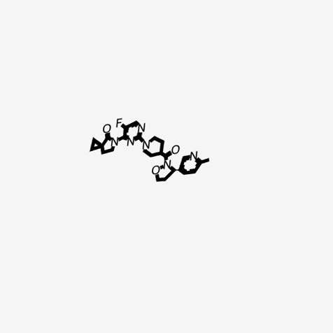 Cc1ccc([C@@H]2CCON2C(=O)C2CCN(c3ncc(F)c(N4CCC5(CC5)C4=O)n3)CC2)cn1